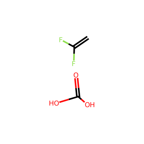 C=C(F)F.O=C(O)O